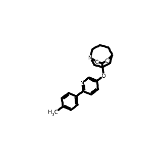 Cc1ccc(-c2ccc(OC3CC4CCCN(CCC4)C3)cn2)cc1